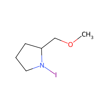 COCC1CCCN1I